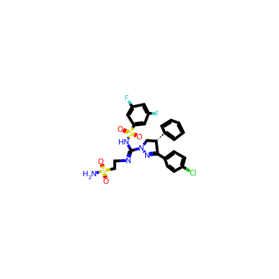 NS(=O)(=O)CC/N=C(\NS(=O)(=O)c1cc(F)cc(F)c1)N1C[C@H](c2ccccc2)C(c2ccc(Cl)cc2)=N1